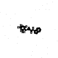 CCC1(CC)CC(=O)N(C[C@@H]2C[C@H]2C(=O)N[C@H]2CCc3ccccc32)C(=N)N1